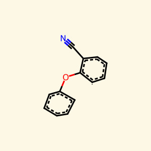 N#Cc1ccc[c]c1Oc1ccccc1